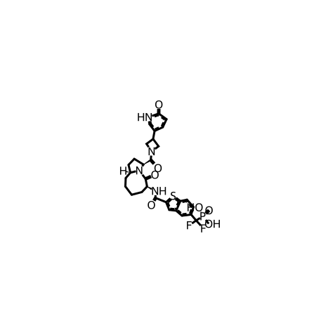 O=C(N[C@H]1CCCC[C@H]2CC[C@@H](C(=O)N3CC(c4ccc(=O)[nH]c4)C3)N2C1=O)c1cc2cc(C(F)(F)P(=O)(O)O)ccc2s1